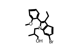 CCc1c(-c2ccccc2OC)n(CC(C)CO)c2cc(Br)ccc12